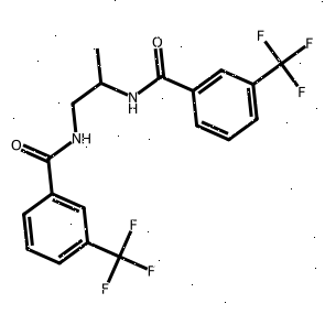 CC(CNC(=O)c1cccc(C(F)(F)F)c1)NC(=O)c1cccc(C(F)(F)F)c1